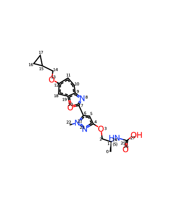 C[C@@H](COc1cc(-c2nc3ccc(OCC4CC4)cc3o2)n(C)n1)NC(=O)O